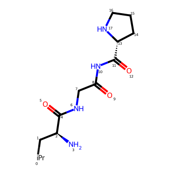 CC(C)C[C@H](N)C(=O)NCC(=O)NC(=O)[C@H]1CCCN1